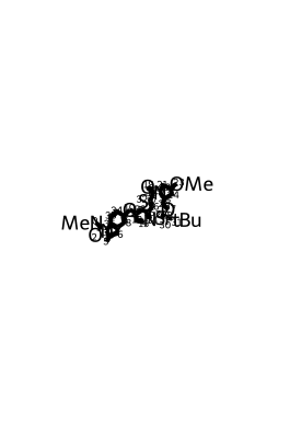 CNC(=O)n1c(C)cc2cc(Oc3ccnc4cc(C(=O)N5CC(OC)CC5CO[Si](C)(C)C(C)(C)C)sc34)ccc21